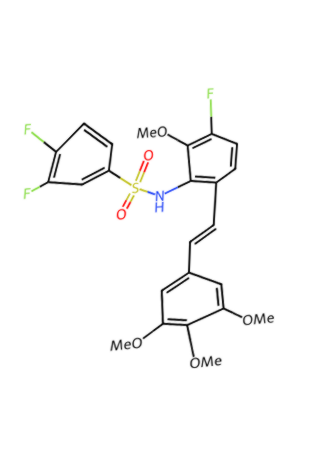 COc1cc(C=Cc2ccc(F)c(OC)c2NS(=O)(=O)c2ccc(F)c(F)c2)cc(OC)c1OC